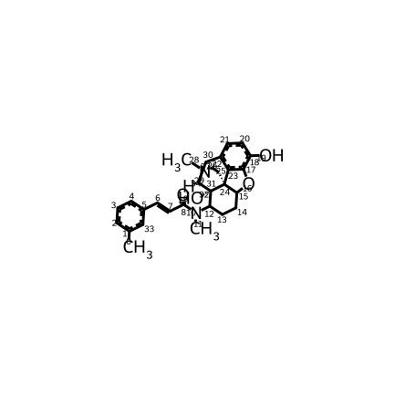 Cc1cccc(/C=C/C(=O)N(C)C2CCC3Oc4c(O)ccc5c4[C@@]34CCN(C)[C@H](C5)[C@]24O)c1